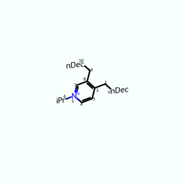 CCCCCCCCCCCc1cc[n+](C(C)C)cc1CCCCCCCCCCC